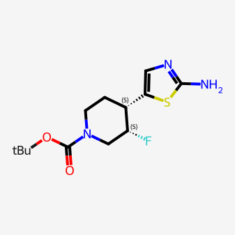 CC(C)(C)OC(=O)N1CC[C@H](c2cnc(N)s2)[C@H](F)C1